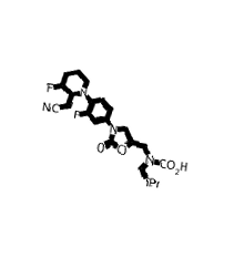 CC(C)CN(CC1CN(c2ccc(N3CCCC(F)C3CC#N)c(F)c2)C(=O)O1)C(=O)O